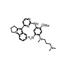 COc1cc(N(C)CCCN(C)C)c(N)cc1Nc1nccc(-c2c3n(c4ccccc24)CCC3)n1